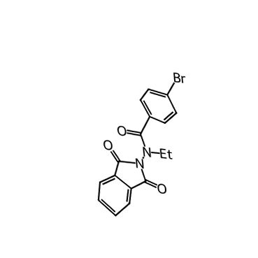 CCN(C(=O)c1ccc(Br)cc1)N1C(=O)c2ccccc2C1=O